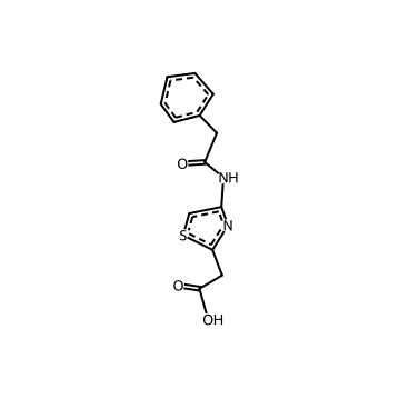 O=C(O)Cc1nc(NC(=O)Cc2ccccc2)cs1